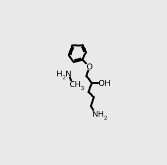 CN.NCCCC(O)COc1ccccc1